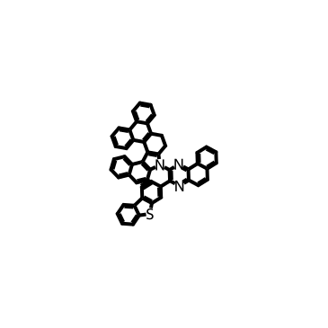 c1c(-c2nc3ccc4ccccc4c3nc2-n2c3c(c4c5ccccc5ccc42)-c2c(c4ccccc4c4ccccc24)CC3)cc2sc3ccccc3c2c#1